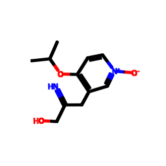 CC(C)Oc1cc[n+]([O-])cc1CC(=N)CO